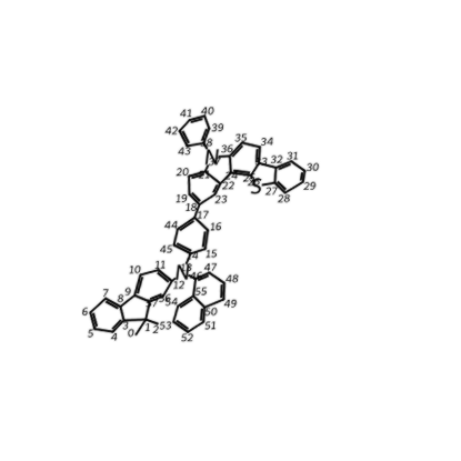 CC1(C)c2ccccc2-c2ccc(N(c3ccc(-c4ccc5c(c4)c4c6sc7ccccc7c6ccc4n5-c4ccccc4)cc3)c3cccc4ccccc34)cc21